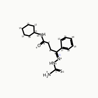 NC(=S)N/N=C(\CCC(=O)NC1CCCCC1)c1ccccc1